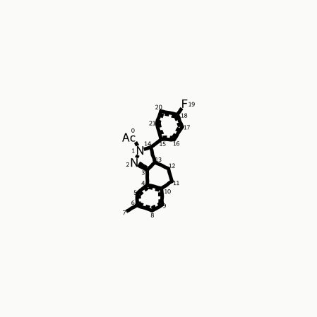 CC(=O)N1N=C2c3cc(C)ccc3CCC2C1c1ccc(F)cc1